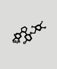 CCOC(=O)c1cc(C2=C(c3cc(Cl)ccc3OCc3cc(F)c(F)cc3F)CCC2)cnc1C